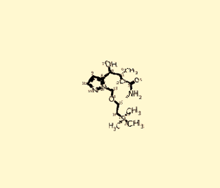 C[C@H](OC(N)=O)C(O)c1ccnn1COCC[Si](C)(C)C